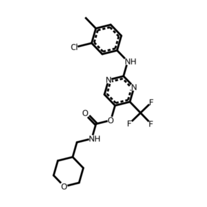 Cc1ccc(Nc2ncc(OC(=O)NCC3CCOCC3)c(C(F)(F)F)n2)cc1Cl